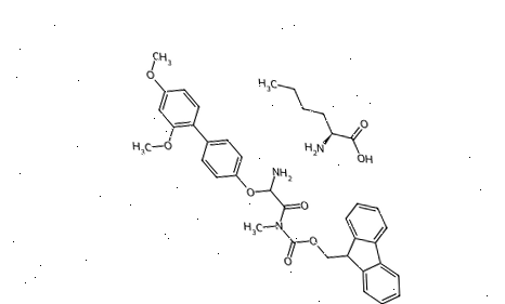 CCCC[C@H](N)C(=O)O.COc1ccc(-c2ccc(OC(N)C(=O)N(C)C(=O)OCC3c4ccccc4-c4ccccc43)cc2)c(OC)c1